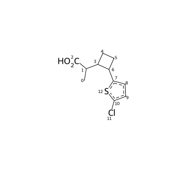 CC(C(=O)O)C1CCC1c1ccc(Cl)s1